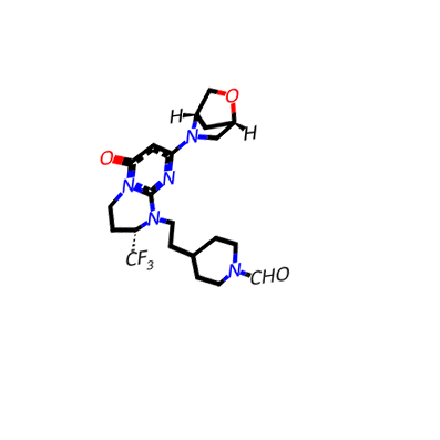 O=CN1CCC(CCN2c3nc(N4C[C@@H]5C[C@H]4CO5)cc(=O)n3CC[C@H]2C(F)(F)F)CC1